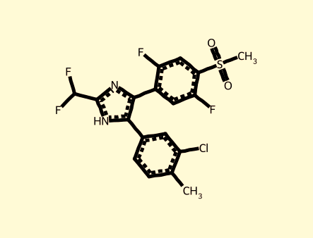 Cc1ccc(-c2[nH]c(C(F)F)nc2-c2cc(F)c(S(C)(=O)=O)cc2F)cc1Cl